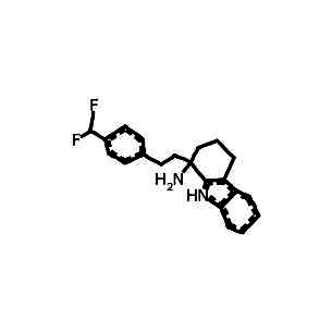 NC1(CCc2ccc(C(F)F)cc2)CCCc2c1[nH]c1ccccc21